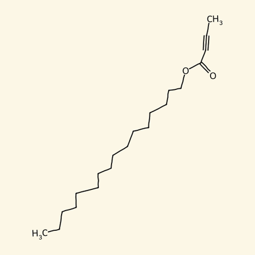 CC#CC(=O)OCCCCCCCCCCCCCCCC